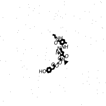 CCCNC(=O)c1ccc(C)c(Nc2ncnn3cc(C(=O)N(C(=O)OCOC(=O)Cc4ccc(O)cc4)C4CC4)cc23)c1